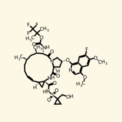 COc1cc2c(OC)cnc(O[C@@H]3C[C@H]4C(=O)N[C@]5(C(=O)NS(=O)(=O)C6(CO)CC6)C[C@H]5/C=C\CC[C@@H](C)C[C@@H](C)[C@H](NC(=O)OC(C)(C)C(F)(F)F)C(=O)N4C3)c2cc1F